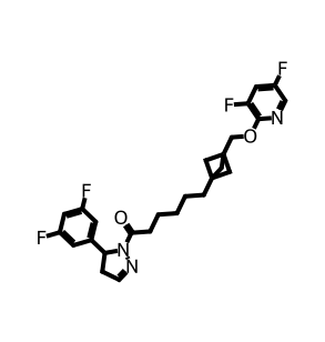 O=C(CCCCCC12CC(COc3ncc(F)cc3F)(C1)C2)N1N=CCC1c1cc(F)cc(F)c1